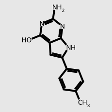 Cc1ccc(-c2cc3c(O)nc(N)nc3[nH]2)cc1